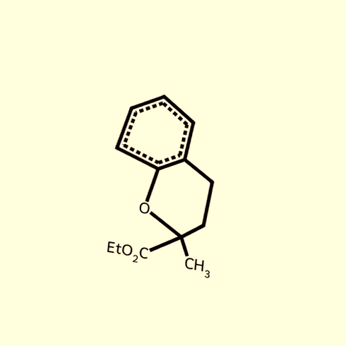 CCOC(=O)C1(C)CCc2ccccc2O1